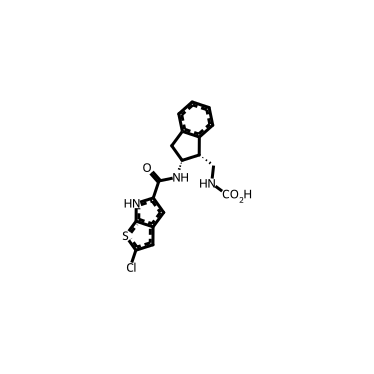 O=C(O)NC[C@H]1c2ccccc2C[C@H]1NC(=O)c1cc2cc(Cl)sc2[nH]1